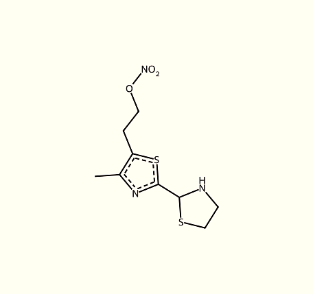 Cc1nc(C2NCCS2)sc1CCO[N+](=O)[O-]